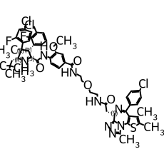 COc1cc(C(=O)NCCOCCNC(=O)C[C@@H]2N=C(c3ccc(Cl)cc3)c3c(sc(C)c3C)-n3c(C)nnc32)ccc1NC(=O)[C@H]1N[C@H](CC(C)(C)C)[C@@](C)(c2ccc(Cl)cc2F)[C@@H]1c1cccc(Cl)c1F